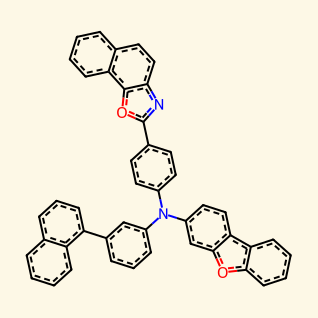 c1cc(-c2cccc3ccccc23)cc(N(c2ccc(-c3nc4ccc5ccccc5c4o3)cc2)c2ccc3c(c2)oc2ccccc23)c1